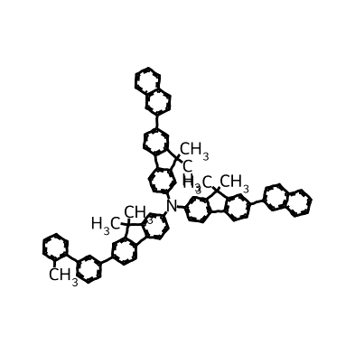 Cc1ccccc1-c1cccc(-c2ccc3c(c2)C(C)(C)c2cc(N(c4ccc5c(c4)C(C)(C)c4cc(-c6ccc7ccccc7c6)ccc4-5)c4ccc5c(c4)C(C)(C)c4cc(-c6ccc7ccccc7c6)ccc4-5)ccc2-3)c1